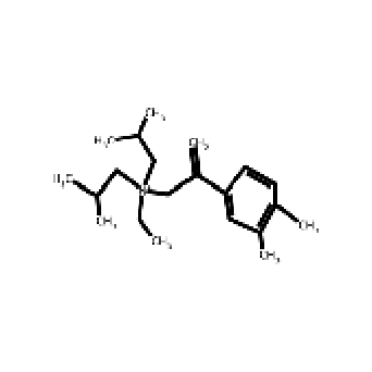 C=C(C[N+](CC)(CC(C)C)CC(C)C)c1ccc(C)c(C)c1